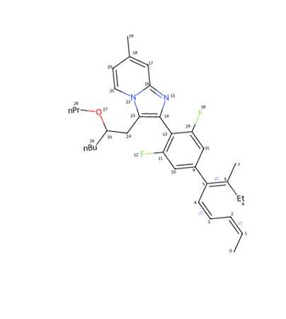 C\C=C/C=C\C(=C(\C)CC)c1cc(F)c(-c2nc3cc(C)ccn3c2CC(CCCC)OCCC)c(F)c1